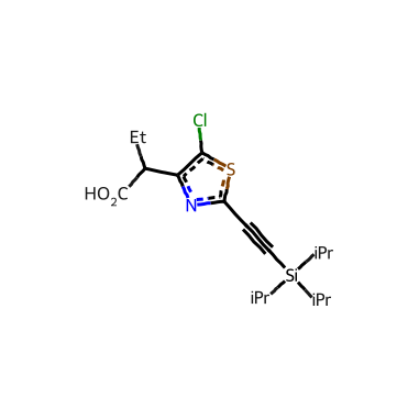 CCC(C(=O)O)c1nc(C#C[Si](C(C)C)(C(C)C)C(C)C)sc1Cl